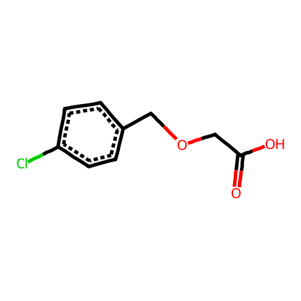 O=C(O)COCc1ccc(Cl)cc1